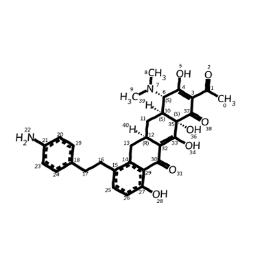 CC(=O)C1=C(O)[C@@H](N(C)C)[C@@H]2C[C@@H]3Cc4c(CCc5ccc(N)cc5)ccc(O)c4C(=O)C3=C(O)[C@]2(O)C1=O